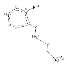 CCCNCc1ccncc1F